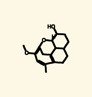 COC1=C2CC3=C(CCC4CCC(O)[C@@H](O2)C34)C(C)=C1